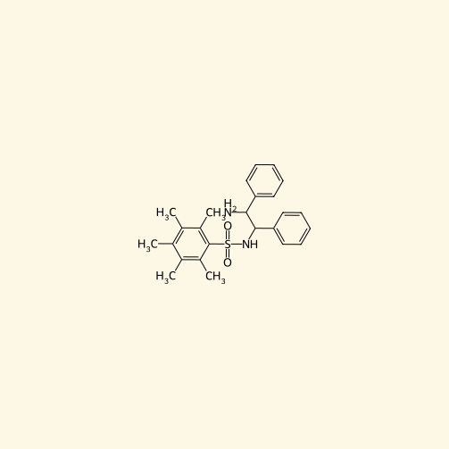 Cc1c(C)c(C)c(S(=O)(=O)NC(c2ccccc2)C(N)c2ccccc2)c(C)c1C